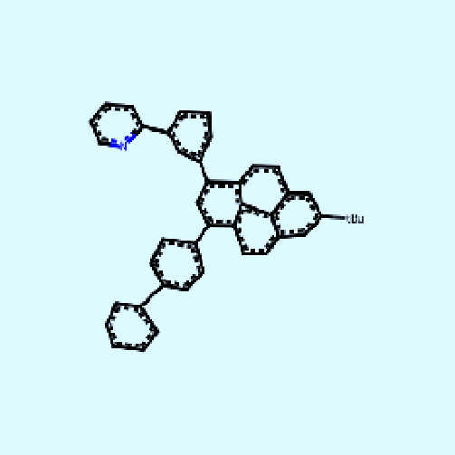 CC(C)(C)c1cc2ccc3c(-c4ccc(-c5ccccc5)cc4)cc(-c4cccc(-c5ccccn5)c4)c4ccc(c1)c2c34